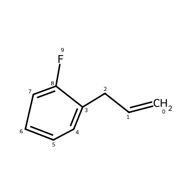 C=CCc1ccccc1F